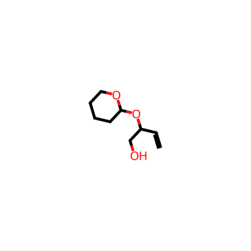 C=CC(CO)OC1CCCCO1